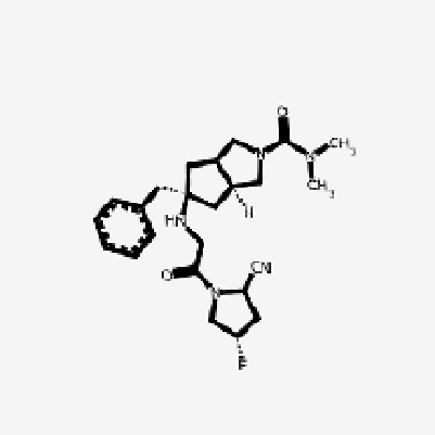 CN(C)C(=O)N1CC2C[C@](Cc3ccccc3)(NCC(=O)N3C[C@@H](F)CC3C#N)C[C@@H]2C1